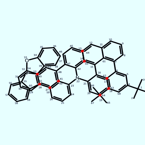 CC(C)(C)c1cc(-c2cccc3cccc(-c4ccccc4N(c4cccc(-c5cccc6oc7ccccc7c56)c4)c4ccccc4-c4ccc5c(c4)oc4ccccc45)c23)cc(C(C)(C)C)c1